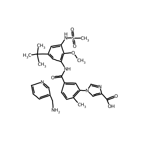 COc1c(NC(=O)c2ccc(C)c(-n3cnc(C(=O)O)c3)c2)cc(C(C)(C)C)cc1NS(C)(=O)=O.NCc1cccnc1